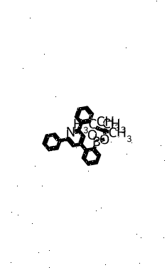 CC1(C)OB(c2ccccc2-c2cc(-c3ccccc3)nc(-c3ccccc3)c2)OC1(C)C